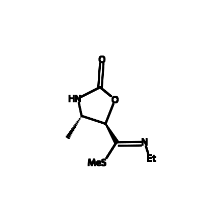 CC/N=C(\SC)[C@@H]1OC(=O)N[C@H]1C